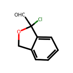 O=CC1(Cl)OCc2ccccc21